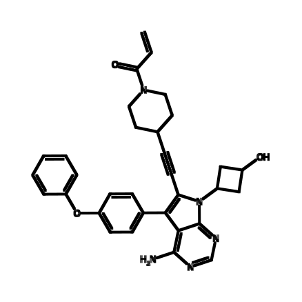 C=CC(=O)N1CCC(C#Cc2c(-c3ccc(Oc4ccccc4)cc3)c3c(N)ncnc3n2C2CC(O)C2)CC1